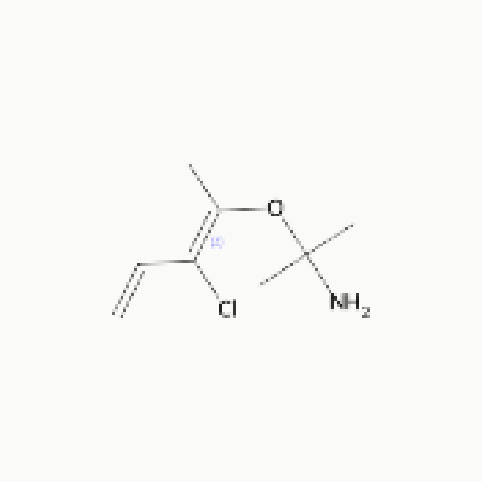 C=C/C(Cl)=C(\C)OC(C)(C)N